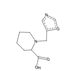 O=C(O)C1CCCCN1Cc1cnco1